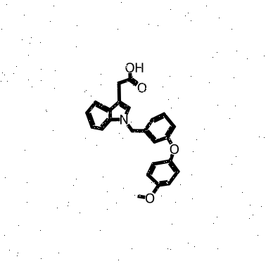 COc1ccc(Oc2cccc(Cn3cc(CC(=O)O)c4ccccc43)c2)cc1